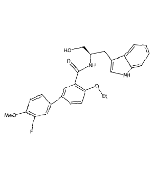 CCOc1ccc(-c2ccc(OC)c(F)c2)cc1C(=O)N[C@@H](CO)Cc1c[nH]c2ccccc12